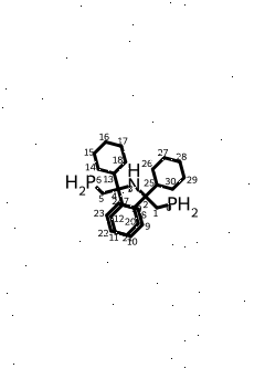 PCC(NC(CP)(C1CCCCC1)C1CCCCC1)(C1CCCCC1)C1CCCCC1